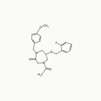 COc1ccc(CN2CC(OCc3ccccc3F)CN(C(C)=O)CC2=O)cc1